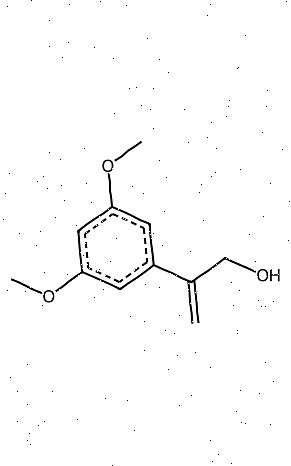 C=C(CO)c1cc(OC)cc(OC)c1